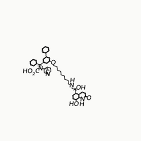 O=C(O)N(C1CN2CCC1CC2)[C@H](c1ccccc1)c1cc(OCCCCCCCCCNC[C@H](O)c2ccc(O)c3[nH]c(=O)ccc23)cc(-c2ccccc2)c1